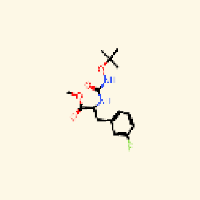 COC(=O)C(Cc1cccc(F)c1)NC(=O)NOC(C)(C)C